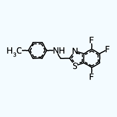 Cc1ccc(NCc2nc3c(F)c(F)cc(F)c3s2)cc1